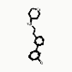 Clc1cccc(-c2cccc(CCNC3CCNCC3)c2)c1